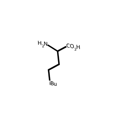 CCC(C)CCC(N)C(=O)O